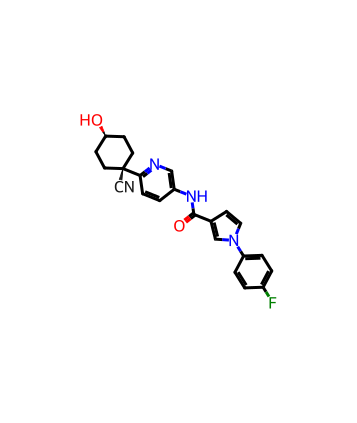 N#C[C@]1(c2ccc(NC(=O)c3ccn(-c4ccc(F)cc4)c3)cn2)CC[C@H](O)CC1